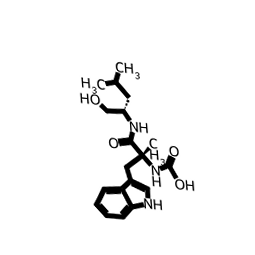 CC(C)C[C@@H](CO)NC(=O)[C@@](C)(Cc1c[nH]c2ccccc12)NC(=O)O